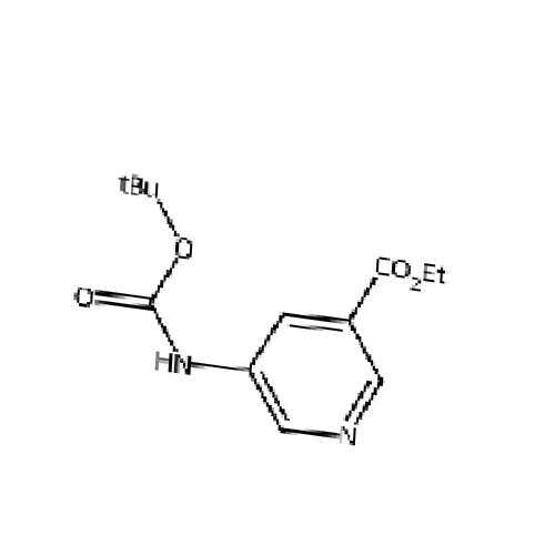 CCOC(=O)c1cncc(NC(=O)OC(C)(C)C)c1